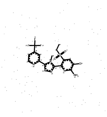 CCS(=O)(=O)c1cc(Cl)c(N)nc1-c1nnc(-c2cc(C(F)(F)F)ccn2)n1C